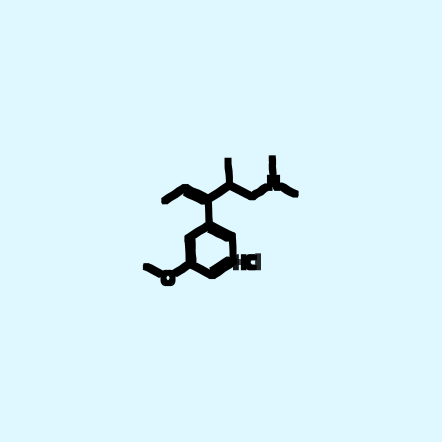 C/C=C(\c1cccc(OC)c1)C(C)CN(C)C.Cl